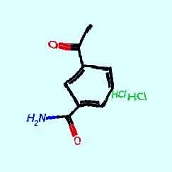 CC(=O)c1cccc(C(N)=O)c1.Cl.Cl